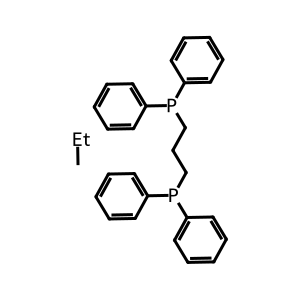 CCC.c1ccc(P(CCCP(c2ccccc2)c2ccccc2)c2ccccc2)cc1